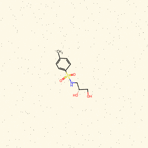 Cc1ccc(S(=O)(=O)NC[C@@H](O)CO)cc1